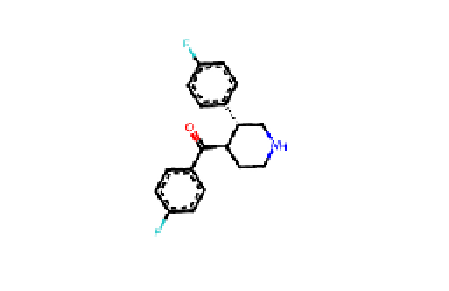 O=C(c1ccc(F)cc1)[C@@H]1CCNC[C@H]1c1ccc(F)cc1